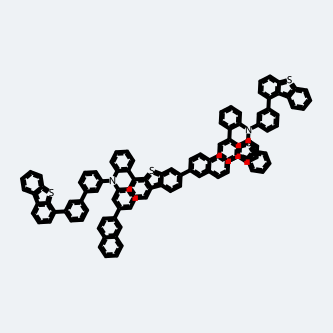 c1cc(-c2cccc(N(c3cccc(-c4ccc5ccccc5c4)c3)c3ccccc3-c3cccc4c3sc3cc(-c5ccc6cc(-c7cccc(N(c8cccc(-c9cccc%10sc%11ccccc%11c9%10)c8)c8ccccc8-c8cccc9c8oc8ccccc89)c7)ccc6c5)ccc34)c2)cc(-c2cccc3c2sc2ccccc23)c1